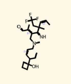 C/C=C\C(C)(CC(F)(F)F)C(=N)/C(CN(C)C/C=C\C(CC)C1(O)CCC1)=C(\C)C=O